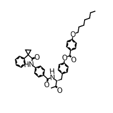 CCCCCCCOc1ccc(C(=O)Oc2ccc(C[C@H](NC(=O)c3ccc(NC(=O)C4(c5ccccc5)CC4)cc3)C(C)=O)cc2)cc1